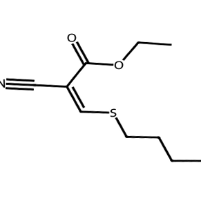 CCCCS/C=C(/C#N)C(=O)OCC